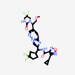 COCC(c1cnn2cc(C(NC(=O)c3nonc3C3CC3)C3CCC(F)(F)C3)nc2c1)N1CC(F)(F)CNC1=O